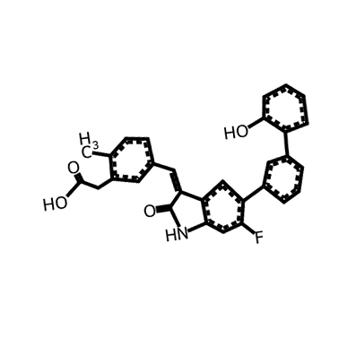 Cc1ccc(C=C2C(=O)Nc3cc(F)c(-c4cccc(-c5ccccc5O)c4)cc32)cc1CC(=O)O